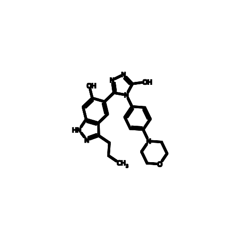 CCCc1n[nH]c2cc(O)c(-c3nnc(O)n3-c3ccc(N4CCOCC4)cc3)cc12